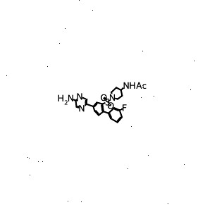 CC(=O)NC1CCN(S(=O)(=O)c2cc(-c3cnc(N)cn3)ccc2-c2cccc(F)c2)CC1